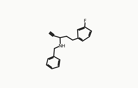 C#CC(CCc1cccc(F)c1)NCc1ccccc1